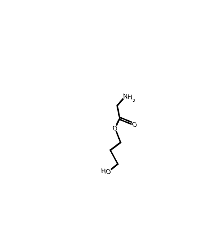 NCC(=O)OCCCO